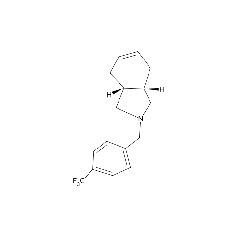 FC(F)(F)c1ccc(CN2C[C@H]3CC=CC[C@H]3C2)cc1